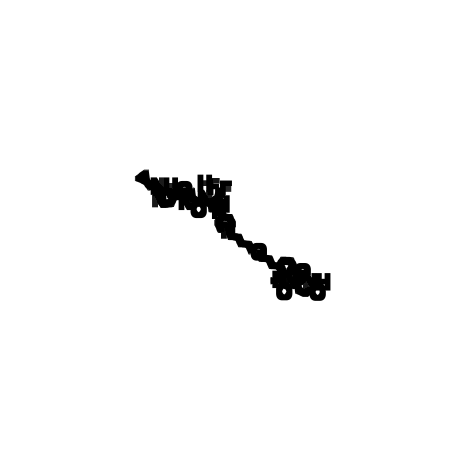 Cn1c(=O)n(C2CCC(=O)NC2=O)c2cccc(CCCOCCCCCN3CCC(n4cc(NC(=O)c5coc(-c6ccnc(NCC7CC7)c6)n5)c(C(F)F)n4)CC3)c21